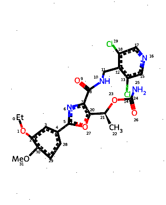 CCOc1cc(-c2nc(C(=O)NCc3c(Cl)cncc3Cl)c([C@H](C)OC(N)=O)o2)ccc1OC